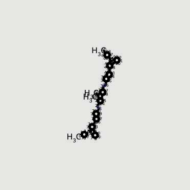 Cc1ccc(-n2c3ccccc3c3cc(-c4ccc5cc(/C=C/c6ccc7c(c6)C(C)(C)c6cc(/C=C/c8ccc9cc(-c%10ccc%11c(c%10)c%10ccccc%10n%11-c%10ccc(C)cc%10)ccc9c8)ccc6-7)ccc5c4)ccc32)cc1